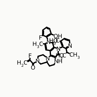 C=C(F)C(=O)N1CCN2c3c(c(=O)n(-c4c(C)ccnc4C(C)C)c4c(=O)n(-c5c(O)cccc5F)c(C)cc34)NCCC2C1